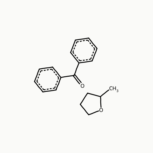 CC1CCCO1.O=C(c1ccccc1)c1ccccc1